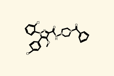 COc1c(C(=O)NN2CCN(C(=O)c3ccccc3)CC2)nn(-c2ccccc2Cl)c1-c1ccc(Cl)cc1